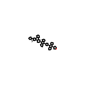 c1ccc(-c2c3ccccc3c(-c3ccc(-c4c5ccccc5c(-c5ccc6c(c5)c5ccccc5c5cc7c(cc65)sc5ccccc57)c5ccccc45)cc3)c3ccccc23)cc1